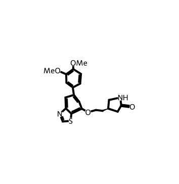 COc1ccc(-c2cc(OCC[C@H]3CNC(=O)C3)c3scnc3c2)cc1OC